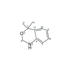 CC1(C)OCNc2ccccc21